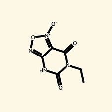 CCn1c(=O)[nH]c2no[n+]([O-])c2c1=O